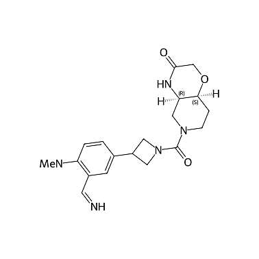 CNc1ccc(C2CN(C(=O)N3CC[C@@H]4OCC(=O)N[C@@H]4C3)C2)cc1C=N